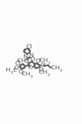 CCCCOc1c(OC)cc2oc(-c3cc(OC)c(OC)c(OC)c3)c(Oc3cnc4cc(Cl)ccc4n3)c(=O)c2c1OC